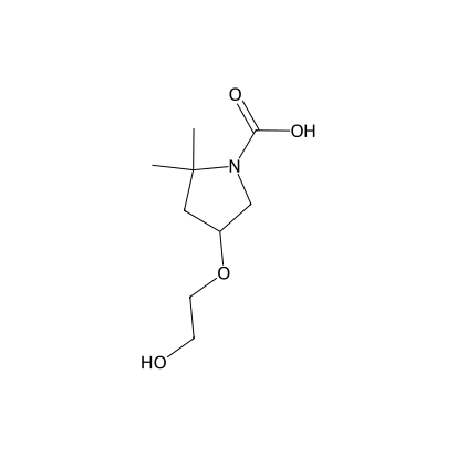 CC1(C)CC(OCCO)CN1C(=O)O